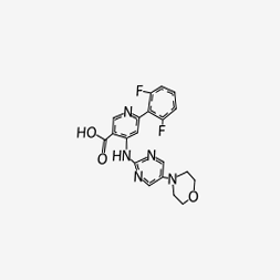 O=C(O)c1cnc(-c2c(F)cccc2F)cc1Nc1ncc(N2CCOCC2)cn1